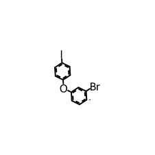 Brc1[c]ccc(Oc2ccc(I)cc2)c1